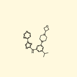 CC(C)c1cc(Nc2ncn(-c3ccncn3)n2)cc(N2CCN(C3COC3)CC2)c1